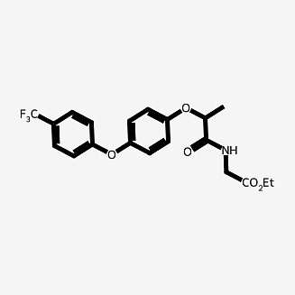 CCOC(=O)CNC(=O)C(C)Oc1ccc(Oc2ccc(C(F)(F)F)cc2)cc1